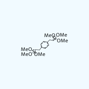 CO[Si](CCc1ccc(CC[Si](OC)(OC)OC)cc1)(OC)OC